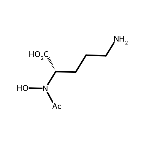 CC(=O)N(O)[C@@H](CCCN)C(=O)O